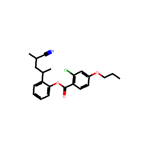 CCCOc1ccc(C(=O)Oc2ccccc2C(C)CC(C)C#N)c(Cl)c1